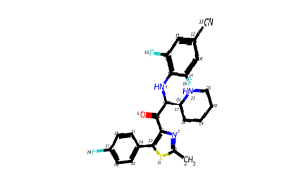 Cc1nc(C(=O)C(Nc2c(F)cc(C#N)cc2F)[C@@H]2CCCCN2)c(-c2ccc(F)cc2)s1